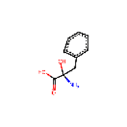 N[C@@](O)(Cc1ccccc1)C(=O)O